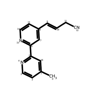 Cc1ccnc(-c2cc(C=CCC#N)ccn2)c1